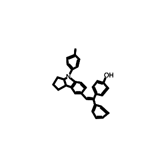 Cc1ccc(N2c3ccc(/C=C(/c4ccccc4)c4ccc(O)cc4)cc3C3CCCC32)cc1